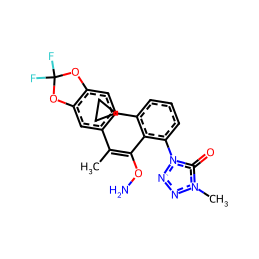 C/C(=C(\ON)c1c(C2CC2)cccc1-n1nnn(C)c1=O)c1ccc2c(c1)OC(F)(F)O2